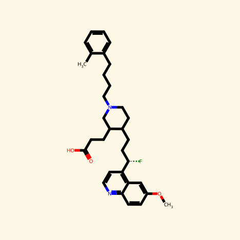 COc1ccc2nccc([C@@H](F)CCC3CCN(CCCCc4ccccc4C)CC3CCC(=O)O)c2c1